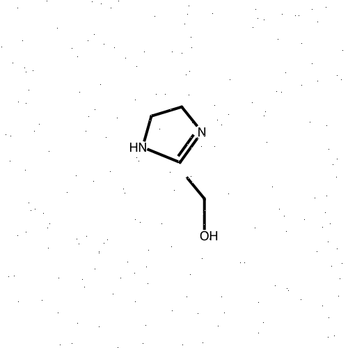 C1=NCCN1.CCO